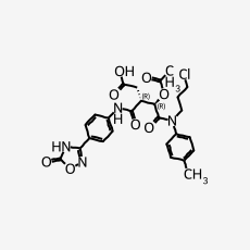 CC(=O)O[C@@H](C(=O)N(CCCCl)c1ccc(C)cc1)[C@@H](CC(=O)O)C(=O)Nc1ccc(-c2noc(=O)[nH]2)cc1